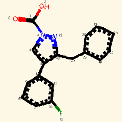 O=C(O)n1cc(-c2cccc(F)c2)c(Cc2ccccc2)n1